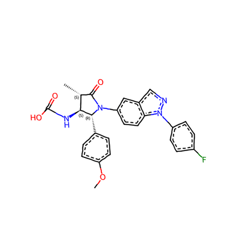 COc1ccc([C@@H]2[C@@H](NC(=O)O)[C@H](C)C(=O)N2c2ccc3c(cnn3-c3ccc(F)cc3)c2)cc1